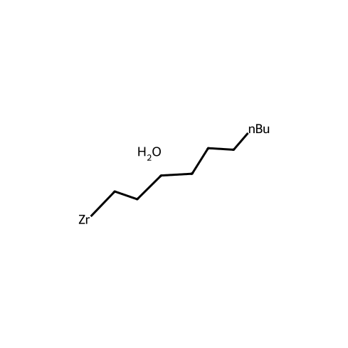 CCCCCCCCC[CH2][Zr].O